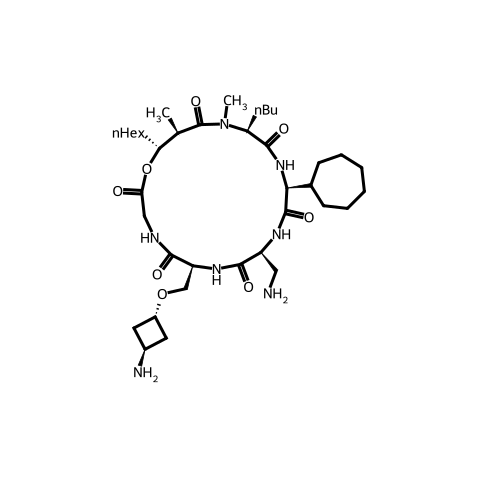 CCCCCC[C@H]1OC(=O)CNC(=O)[C@H](CO[C@H]2C[C@H](N)C2)NC(=O)[C@H](CN)NC(=O)[C@H](C2CCCCCC2)NC(=O)[C@H](CCCC)N(C)C(=O)[C@@H]1C